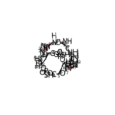 O=[P@]1(S)OCC2OC3[C@H](F)[C@@H]2O[P@](=O)(S)OCC2OC([C@H](F)[C@@H]2O1)n1cnc2c(ncnc21)NCC1NC1CNc1ncnc2c1ncn23